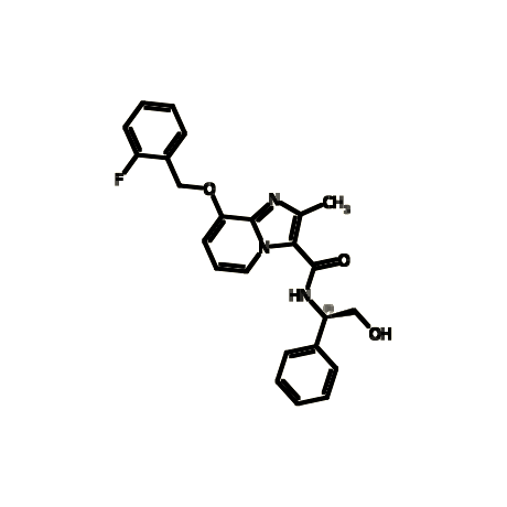 Cc1nc2c(OCc3ccccc3F)cccn2c1C(=O)N[C@@H](CO)c1ccccc1